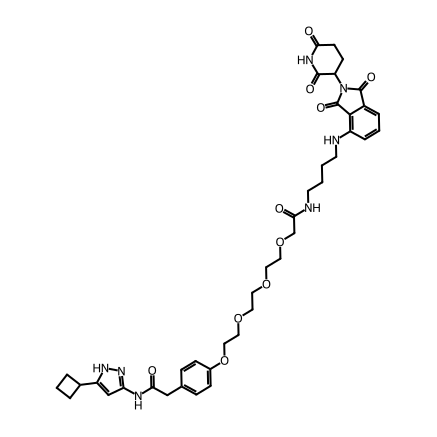 O=C(COCCOCCOCCOc1ccc(CC(=O)Nc2cc(C3CCC3)[nH]n2)cc1)NCCCCNc1cccc2c1C(=O)N(C1CCC(=O)NC1=O)C2=O